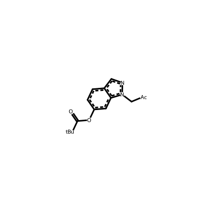 CC(=O)Cn1ncc2ccc(OC(=O)C(C)(C)C)cc21